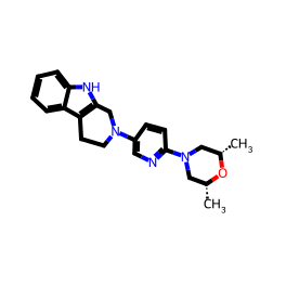 C[C@@H]1CN(c2ccc(N3CCc4c([nH]c5ccccc45)C3)cn2)C[C@H](C)O1